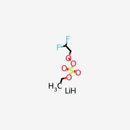 CCOS(=O)(=O)OOCC(F)F.[LiH]